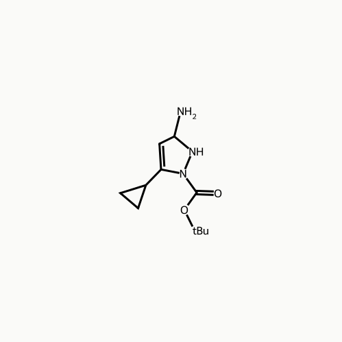 CC(C)(C)OC(=O)N1NC(N)C=C1C1CC1